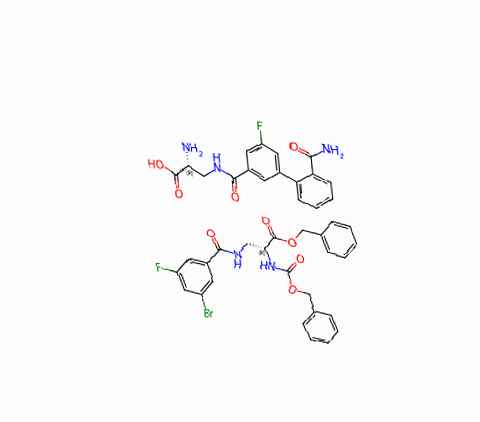 NC(=O)c1ccccc1-c1cc(F)cc(C(=O)NC[C@@H](N)C(=O)O)c1.O=C(N[C@H](CNC(=O)c1cc(F)cc(Br)c1)C(=O)OCc1ccccc1)OCc1ccccc1